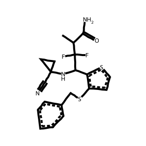 CC(C(N)=O)C(F)(F)C(NC1(C#N)CC1)c1sccc1SCc1ccccc1